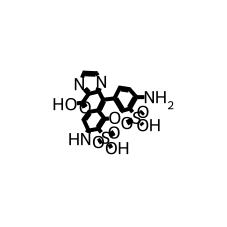 N=c1ccc2c(-c3nccnc3C(=O)O)c3ccc(N)c(S(=O)(=O)O)c3oc-2c1S(=O)(=O)O